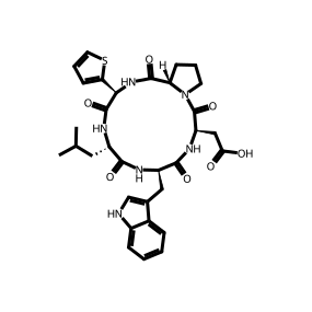 CC(C)C[C@@H]1NC(=O)[C@@H](c2cccs2)NC(=O)[C@@H]2CCCN2C(=O)[C@@H](CC(=O)O)NC(=O)[C@@H](Cc2c[nH]c3ccccc23)NC1=O